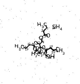 CCCC(=O)OCC(OC(=O)CCC)C(OC)(OC)OC(CCC)=NO.[SiH4]